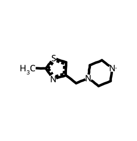 Cc1nc(CN2CC[N]CC2)cs1